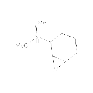 CO[SiH](OC)C1CCCC2OC21